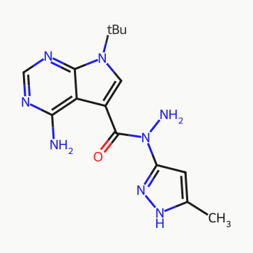 Cc1cc(N(N)C(=O)c2cn(C(C)(C)C)c3ncnc(N)c23)n[nH]1